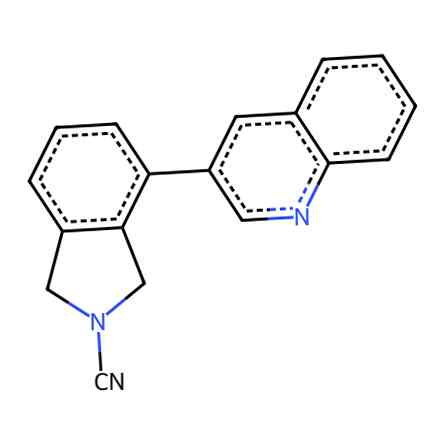 N#CN1Cc2cccc(-c3cnc4ccccc4c3)c2C1